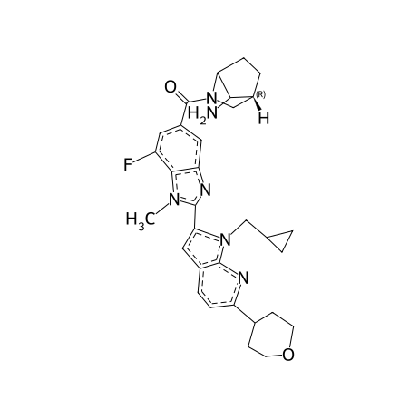 Cn1c(-c2cc3ccc(C4CCOCC4)nc3n2CC2CC2)nc2cc(C(=O)N3C[C@H]4CCC3C4N)cc(F)c21